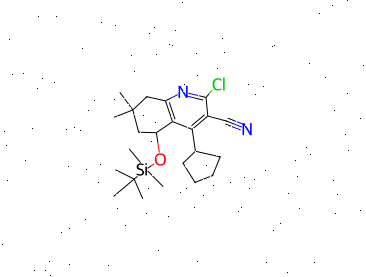 CC1(C)Cc2nc(Cl)c(C#N)c(C3CCCC3)c2C(O[Si](C)(C)C(C)(C)C)C1